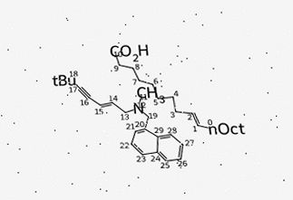 CCCCCCCCC=CCCCCCCCC(=O)O.CN(CC=CC#CC(C)(C)C)Cc1cccc2ccccc12